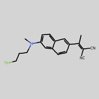 [C-]#[N+]/C(C#N)=C(/C)c1ccc2cc(N(C)CCC[18F])ccc2c1